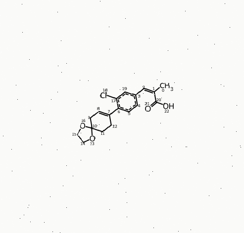 CC(=Cc1ccc(C2=CCC3(CC2)OCCO3)c(Cl)c1)C(=O)O